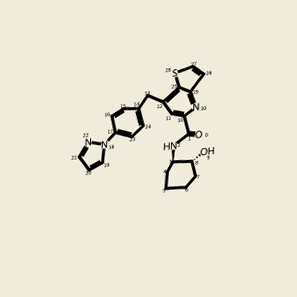 O=C(N[C@@H]1CCCC[C@H]1O)c1cc(Cc2ccc(-n3cccn3)cc2)c2sccc2n1